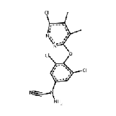 Cc1c(Cl)nnc(Oc2c(Cl)cc(N(N)C#N)cc2Cl)c1C